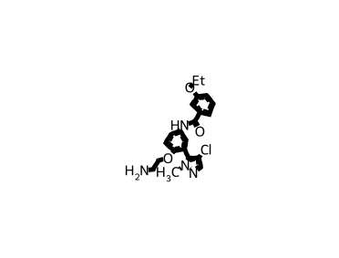 CCOc1cccc(C(=O)Nc2ccc(OCCN)c(-c3c(Cl)cnn3C)c2)c1